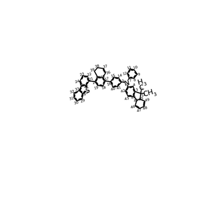 CC1(C)c2cc(N(c3ccccc3)c3ccc(-c4ccc(-c5cccc6c5sc5ccccc56)c5c4C=CCC5)cc3)ccc2C2C=CC=CC21